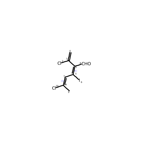 C=C(Cl)/C(C=O)=C(I)\C=C(/C)Cl